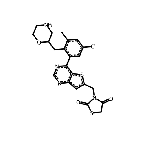 Cc1cc(Cl)cc(-c2ncnc3cc(CN4C(=O)CSC4=O)sc23)c1CC1CNCCO1